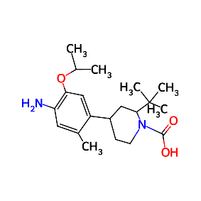 Cc1cc(N)c(OC(C)C)cc1C1CCN(C(=O)O)C(C(C)(C)C)C1